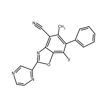 Cc1c(-c2ccccc2)c(F)c2oc(-c3cnccn3)nc2c1C#N